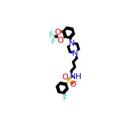 O=S(=O)(NCCCCN1CCN(c2cccc3c2OC(F)(F)O3)CC1)c1cccc(F)c1